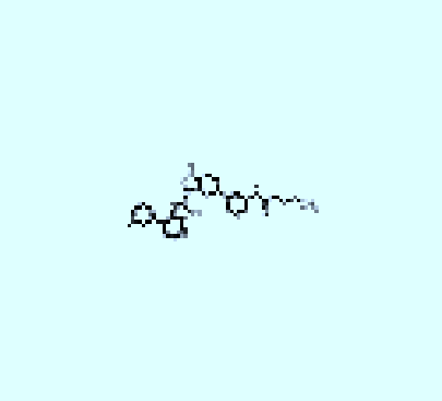 CCCCC(=O)Nc1cncc(-c2ccc3[nH]nc(-c4nc5c(-c6cccc(F)c6)ccnc5[nH]4)c3c2)c1